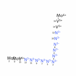 [Mo+6].[Mo+6].[Mo+6].[N-3].[N-3].[N-3].[N-3].[N-3].[N-3].[N-3].[N-3].[N-3].[N-3].[N-3].[V+5].[V+5].[V+5]